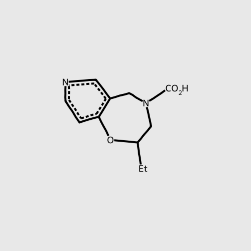 CCC1CN(C(=O)O)Cc2cnccc2O1